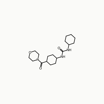 O=C(NC1CCCCC1)NC1CCC(C(=O)N2CCOCC2)CC1